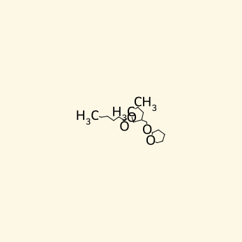 CCCCCC(=O)OCC(COC1CCCCO1)CC(C)C